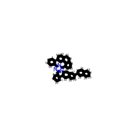 c1ccc(-c2nc(-c3ccccc3-c3ccc4cc(-c5ccc6ccccc6c5)ccc4c3)nc(-c3cccc4ccc5ccccc5c34)n2)cc1